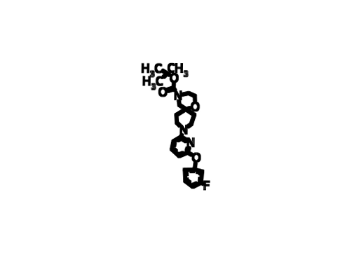 CC(C)(C)OC(=O)N1CCOC2(CCN(c3cccc(Oc4cccc(F)c4)n3)CC2)C1